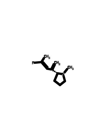 C=C(/C=C(\C)F)[C@H]1CCCN1C